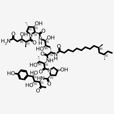 CC[C@H](C)C[C@H](C)CCCCCCCCC(=O)N[C@@H](C[C@@H](O)[C@@H](O)NC(=O)[C@@H]1[C@@H](O)[C@@H](C)CN1C(=O)[C@@H](C)[C@H](O)CC(N)=O)C(=O)N[C@H](C(=O)N1C[C@H](O)C[C@H]1C(=O)N[C@H](C(C)=O)[C@H](O)[C@@H](O)c1ccc(O)cc1)[C@@H](C)O